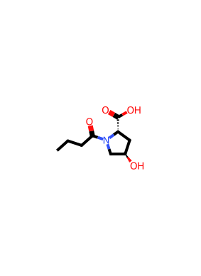 CCCC(=O)N1C[C@H](O)C[C@H]1C(=O)O